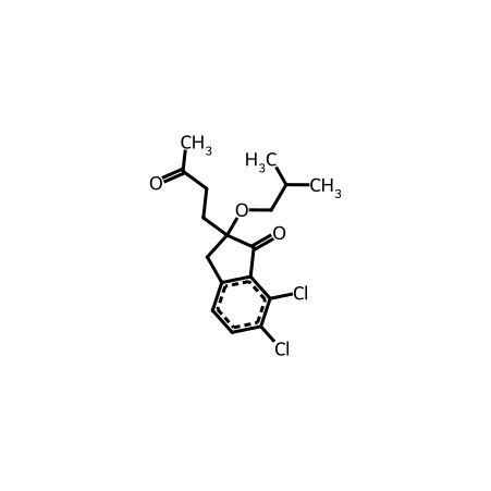 CC(=O)CCC1(OCC(C)C)Cc2ccc(Cl)c(Cl)c2C1=O